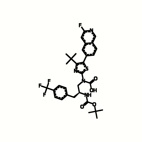 CC(C)(C)OC(=O)N[C@@H](Cc1ccc(C(F)(F)F)cc1)CN(C(=O)O)c1nc(C(C)(C)C)c(-c2ccc3cnc(F)cc3c2)s1